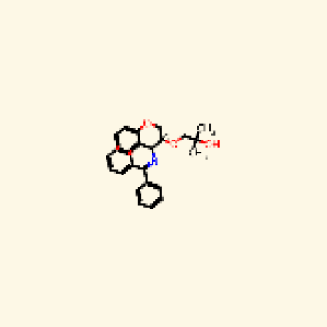 CC(C)(O)CO[C@@H]1COc2ccccc2C1N=C(c1ccccc1)c1ccccc1